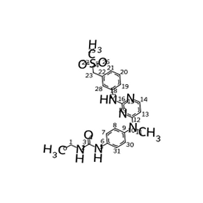 CCNC(=O)Nc1ccc(N(C)c2ccnc(Nc3cccc(CS(C)(=O)=O)c3)n2)cc1